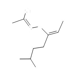 C/C=C(/CCC(C)C)O/N=C(/C)N